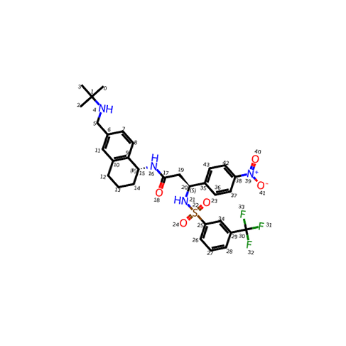 CC(C)(C)NCc1ccc2c(c1)CCC[C@H]2NC(=O)C[C@H](NS(=O)(=O)c1cccc(C(F)(F)F)c1)c1ccc([N+](=O)[O-])cc1